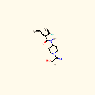 C=C/C=C(\C(=C)F)C(=O)N(C(C)C)C1CCN(C(=N)[C@@H](O)C(F)(F)F)CC1